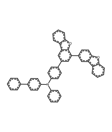 c1ccc(-c2ccc(N(c3ccccc3)c3ccc(-c4cc(-c5ccc6oc7ccccc7c6c5)c5oc6ccccc6c5c4)cc3)cc2)cc1